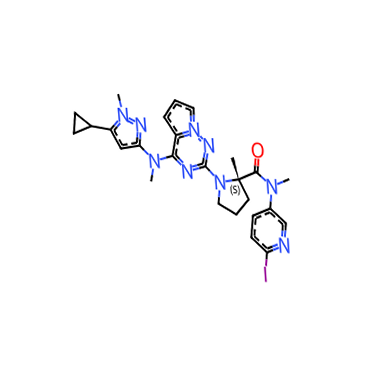 CN(C(=O)[C@]1(C)CCCN1c1nc(N(C)c2cc(C3CC3)n(C)n2)c2cccn2n1)c1ccc(I)nc1